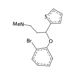 CNCCC(Oc1ccccc1Br)c1cccs1